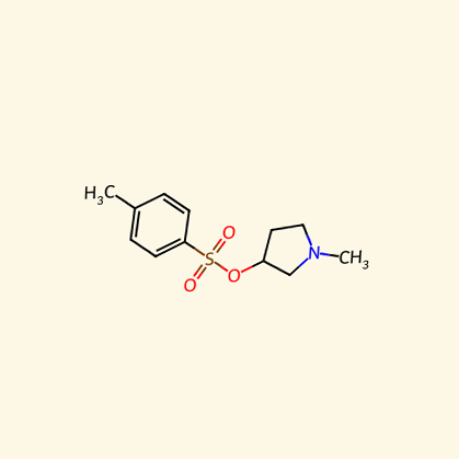 Cc1ccc(S(=O)(=O)OC2CCN(C)C2)cc1